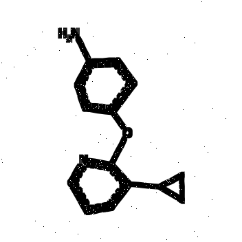 Nc1ccc(Oc2ncccc2C2CC2)cc1